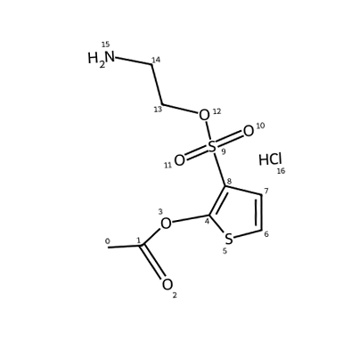 CC(=O)Oc1sccc1S(=O)(=O)OCCN.Cl